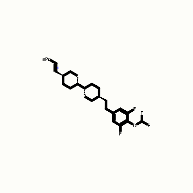 CCC/C=C/[C@H]1CC[C@H]([C@H]2CC[C@H](CCc3cc(F)c(OC(F)F)c(F)c3)CC2)CC1